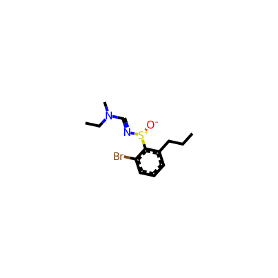 CCCc1cccc(Br)c1[S+]([O-])/N=C/N(C)CC